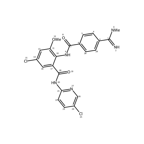 CNC(=N)c1ccc(C(=O)Nc2c(OC)cc(Cl)cc2C(=O)Nc2ccc(Cl)cn2)cc1